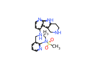 CN(c1ncccc1CNc1ccnc2[nH]c3c(c12)CNCC3)S(C)(=O)=O